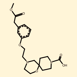 COC(=O)Cc1cccc(OCCN2CCOC3(CCN(C(=O)O)CC3)C2)c1